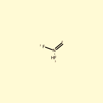 C=NF.F